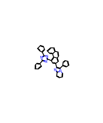 c1ccc(-c2nc(-c3ccccc3)nc(-c3cc(-c4nc5ccccn5c4-c4ccccc4)cc4ccc5ccccc5c34)n2)cc1